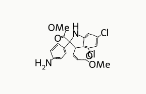 COC(=O)/C=C\C1c2c(Cl)cc(Cl)cc2NC1(C(=O)OC)c1ccc(N)cc1